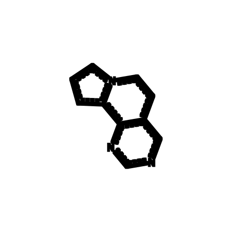 c1cc2c3ncncc3ccn2c1